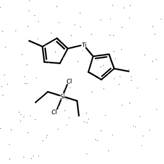 CC1=CC[C]([Ti][C]2=CC(C)=CC2)=C1.CC[Si](Cl)(Cl)CC